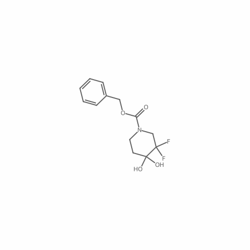 O=C(OCc1ccccc1)N1CCC(O)(O)C(F)(F)C1